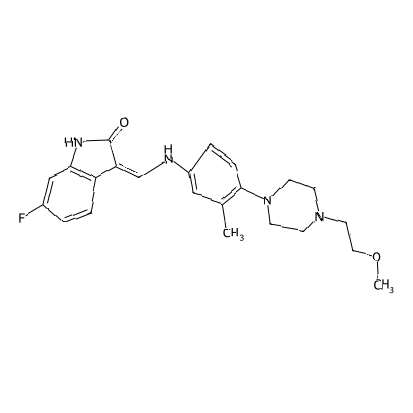 COCCN1CCN(c2ccc(NC=C3C(=O)Nc4cc(F)ccc43)cc2C)CC1